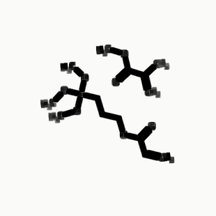 C=C(C)C(=O)OC.C=CC(=O)OCCC[Si](OC)(OC)OC